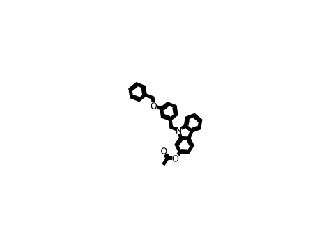 CC(=O)Oc1ccc2c3ccccc3n(Cc3cccc(OCc4ccccc4)c3)c2c1